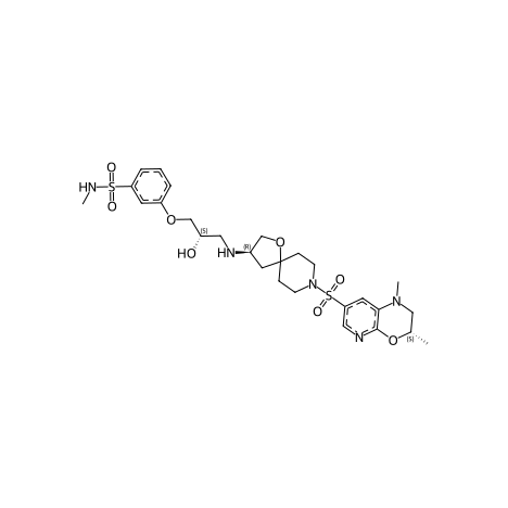 CNS(=O)(=O)c1cccc(OC[C@@H](O)CN[C@H]2COC3(CCN(S(=O)(=O)c4cnc5c(c4)N(C)C[C@H](C)O5)CC3)C2)c1